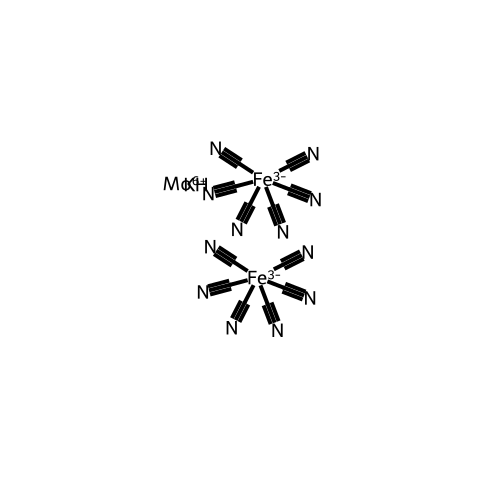 N#[C][Fe-3]([C]#N)([C]#N)([C]#N)([C]#N)[C]#N.N#[C][Fe-3]([C]#N)([C]#N)([C]#N)([C]#N)[C]#N.[KH].[Mo+6]